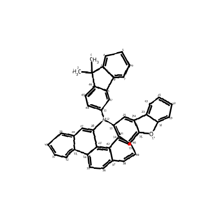 CC1(C)c2ccccc2-c2cc(N(c3ccc4oc5ccccc5c4c3)c3cc4ccccc4c4ccc5ccccc5c34)ccc21